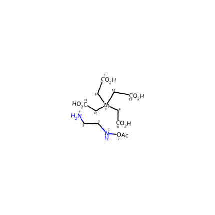 CC(=O)ONCCN.O=C(O)[CH2][Zn]([CH2]C(=O)O)([CH2]C(=O)O)[CH2]C(=O)O